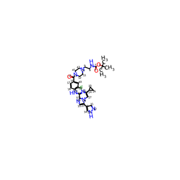 CC(C)(C)OC(=O)NCCN1CCN(C(=O)c2ccc(Nc3nc(C4CC4)cn4c(-c5cn[nH]c5)cnc34)c(F)c2)CC1